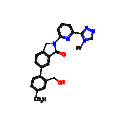 CC(C)n1cnnc1-c1cccc(N2Cc3ccc(-c4ccc(C(=O)O)cc4CO)cc3C2=O)n1